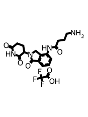 NCCCC(=O)Nc1cccc2c1CN(C1CCC(=O)NC1=O)C2=O.O=C(O)C(F)(F)F